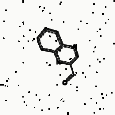 O=[C]c1cnc2ccccc2n1